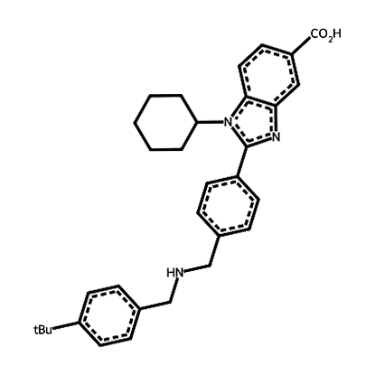 CC(C)(C)c1ccc(CNCc2ccc(-c3nc4cc(C(=O)O)ccc4n3C3CCCCC3)cc2)cc1